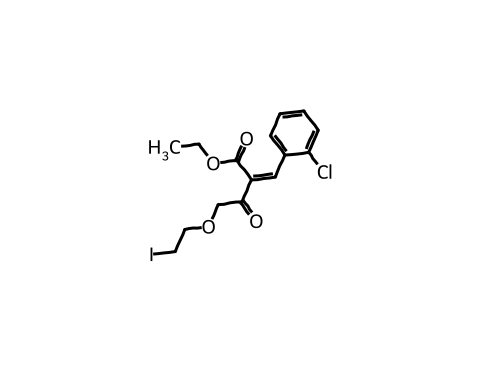 CCOC(=O)C(=Cc1ccccc1Cl)C(=O)COCCI